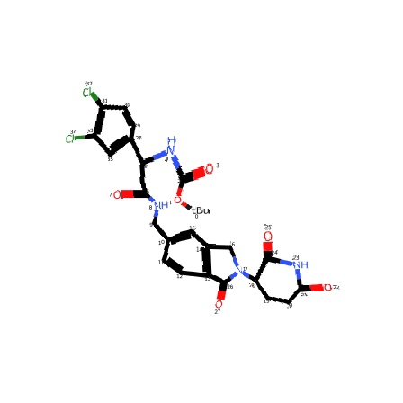 CC(C)(C)OC(=O)NC(C(=O)NCc1ccc2c(c1)CN(C1CCC(=O)NC1=O)C2=O)c1ccc(Cl)c(Cl)c1